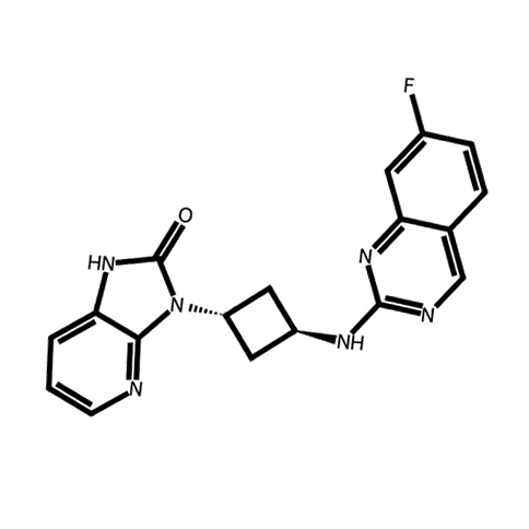 O=c1[nH]c2cccnc2n1[C@H]1C[C@H](Nc2ncc3ccc(F)cc3n2)C1